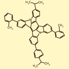 Cc1ccccc1-c1ccc2c3c4c5ccc(C(C)C)cc5n5c6cc(-c7ccccc7C)ccc6c(c6c7ccc(-c8ccc(C(C)C)cc8)cc7n(c2c1)c63)c45